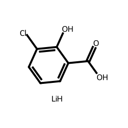 O=C(O)c1cccc(Cl)c1O.[LiH]